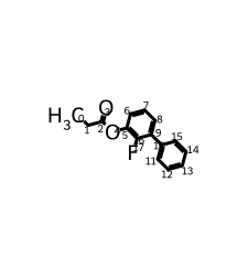 CCC(=O)Oc1cccc(-c2ccccc2)c1F